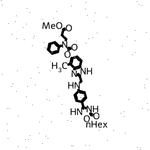 CCCCCCOC(=O)NC(=N)c1ccc(NCc2nc3c(C)c(OC(=O)N(CCC(=O)OC)c4ccccc4)ccc3[nH]2)cc1